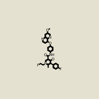 COc1cnc2c(Oc3ccc(NC(=O)c4cn(CCF)c(C)c(-c5ccc(F)cc5)c4=O)cc3)ccnc2c1